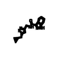 O=C(NCc1cn(CC2CC2)nn1)c1n[nH]c2ccccc12